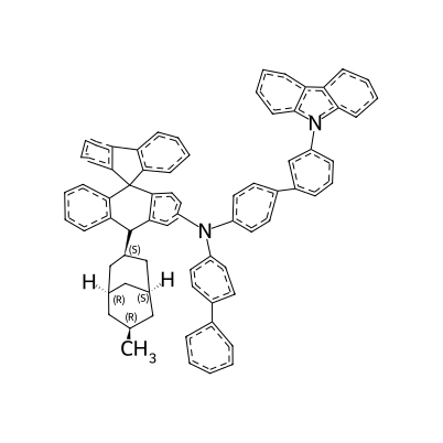 C[C@H]1C[C@@H]2C[C@H](C1)C[C@H](C1c3ccccc3C3(c4ccccc4-c4ccccc43)c3ccc(N(c4ccc(-c5ccccc5)cc4)c4ccc(-c5cccc(-n6c7ccccc7c7ccccc76)c5)cc4)cc31)C2